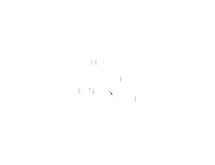 N[C@@H](CO)C(=O)O.[P]